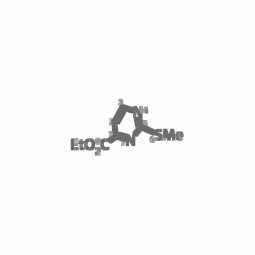 CCOC(=O)c1ccnc(SC)n1